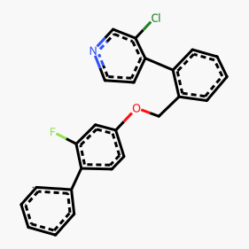 Fc1cc(OCc2ccccc2-c2ccncc2Cl)ccc1-c1[c]cccc1